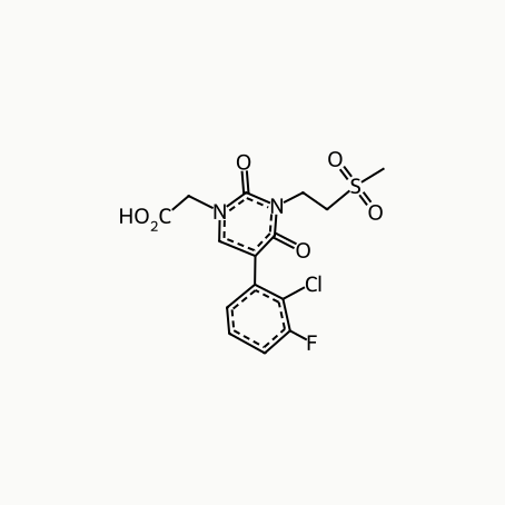 CS(=O)(=O)CCn1c(=O)c(-c2cccc(F)c2Cl)cn(CC(=O)O)c1=O